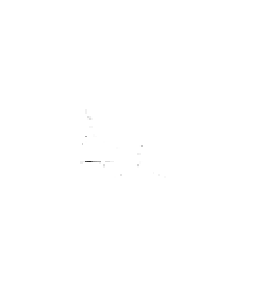 [O]=[V+2].[O]=[V](=[O])[O-].[O]=[V](=[O])[O-]